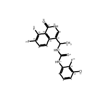 CC(NC(=O)Nc1cccc(Cl)c1F)c1c[nH]c(=O)c2c(F)c(F)ccc12